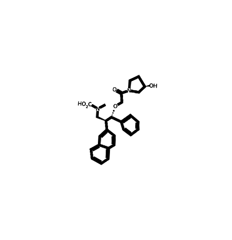 CN(C[C@H](c1ccc2ccccc2c1)[C@H](OCC(=O)N1CC[C@H](O)C1)c1ccccc1)C(=O)O